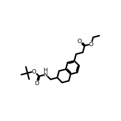 CCOC(=O)CCc1ccc2c(c1)CC(CNC(=O)OC(C)(C)C)CC2